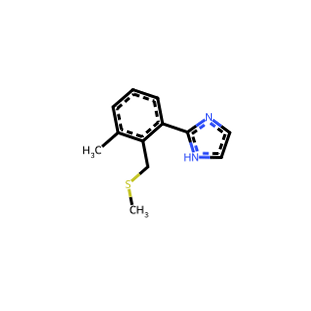 CSCc1c(C)cccc1-c1ncc[nH]1